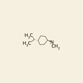 C=N[C@H]1CC[C@H](C(C)C)CC1